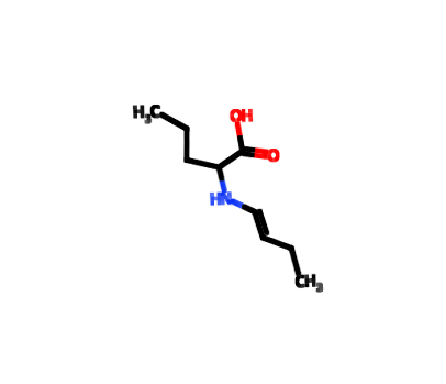 CC/C=C/NC(CCC)C(=O)O